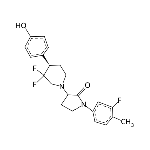 Cc1ccc(N2CCC(N3CC[C@H](c4ccc(O)cc4)C(F)(F)C3)C2=O)cc1F